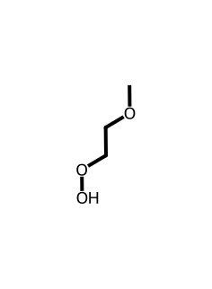 COCCOO